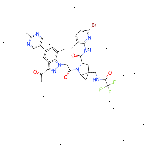 CC(=O)c1nn(CC(=O)N2C(C(=O)Nc3nc(Br)ccc3C)CC3(CNC(=O)C(F)(F)F)CC23)c2c(C)cc(-c3cnc(C)nc3)cc12